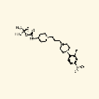 CC(C)(C)OC(=O)NC1CCN(CCCN2CCN(c3ccc([N+](=O)[O-])cc3F)CC2)CC1